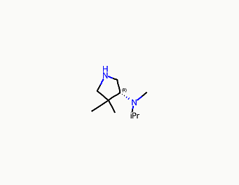 CC(C)N(C)[C@H]1CNCC1(C)C